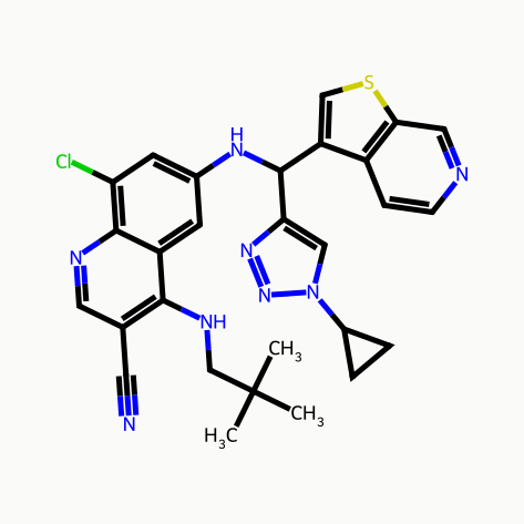 CC(C)(C)CNc1c(C#N)cnc2c(Cl)cc(NC(c3cn(C4CC4)nn3)c3csc4cnccc34)cc12